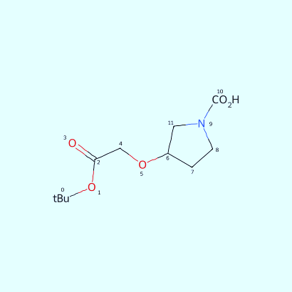 CC(C)(C)OC(=O)COC1CCN(C(=O)O)C1